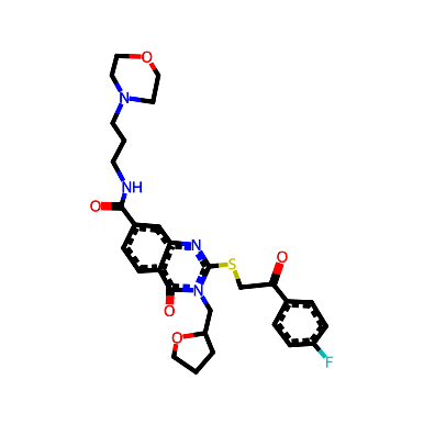 O=C(CSc1nc2cc(C(=O)NCCCN3CCOCC3)ccc2c(=O)n1CC1CCCO1)c1ccc(F)cc1